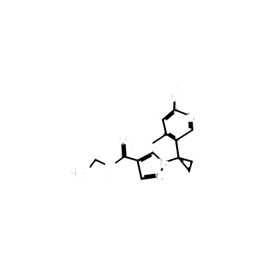 CCOC(=O)c1cnn(C2(c3cnc(Cl)cc3C)CC2)c1